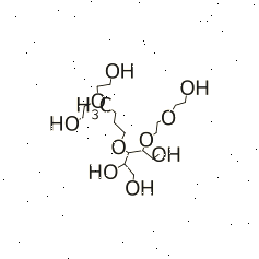 CCCCOC(C(O)CO)C(CO)OCCOCCO.OCCOCCO